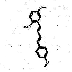 COc1ccc(/C=C/C=C/c2cc(OC)ccc2OC)cc1